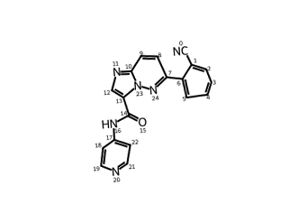 N#Cc1ccccc1-c1ccc2ncc(C(=O)Nc3ccncc3)n2n1